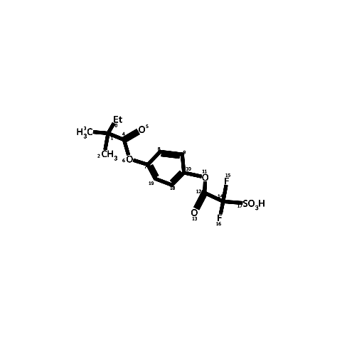 CCC(C)(C)C(=O)Oc1ccc(OC(=O)C(F)(F)S(=O)(=O)O)cc1